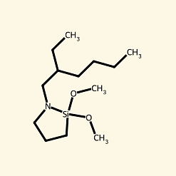 CCCCC(CC)CN1CCC[Si]1(OC)OC